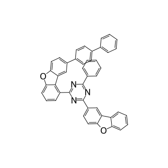 c1ccc(-c2ccc(-c3ccc4oc5cccc(-c6nc(-c7ccccc7)nc(-c7ccc8oc9ccccc9c8c7)n6)c5c4c3)cc2)cc1